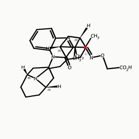 C/C(=N\OCC(=O)O)c1nc2ccccc2n(C2C[C@H]3CCC[C@@H](C2)N3CCC2CC[C@H]3C[C@@H]2C3(C)C)c1=O